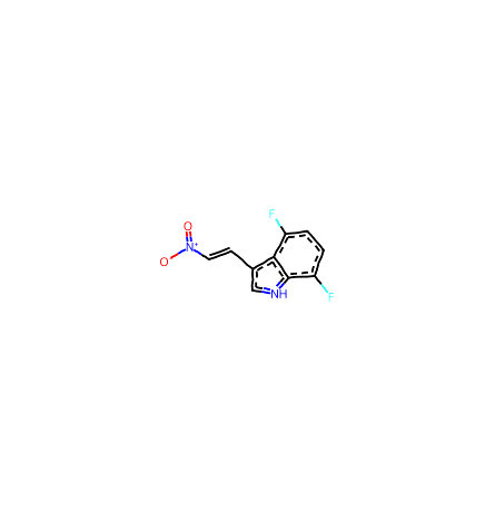 O=[N+]([O-])C=Cc1c[nH]c2c(F)ccc(F)c12